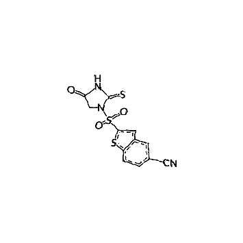 N#Cc1ccc2sc(S(=O)(=O)N3CC(=O)NC3=S)cc2c1